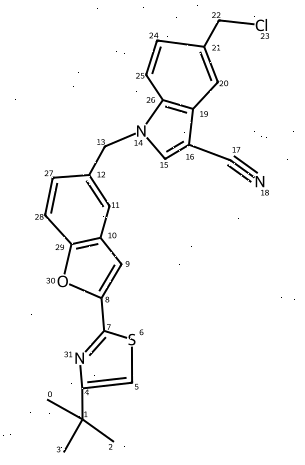 CC(C)(C)c1csc(-c2cc3cc(Cn4cc(C#N)c5cc(CCl)ccc54)ccc3o2)n1